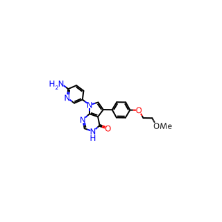 COCCOc1ccc(-c2cn(-c3ccc(N)nc3)c3nc[nH]c(=O)c23)cc1